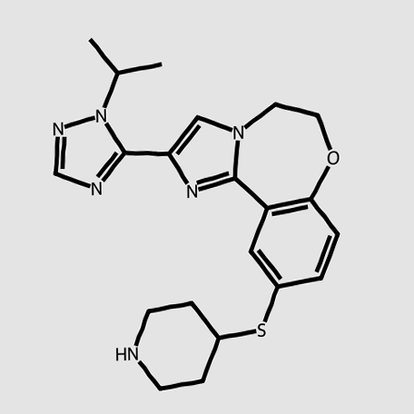 CC(C)n1ncnc1-c1cn2c(n1)-c1cc(SC3CCNCC3)ccc1OCC2